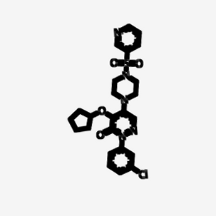 O=c1c(OC2CCCC2)c(N2CCN(S(=O)(=O)c3cccnc3)CC2)cnn1-c1cccc(Cl)c1